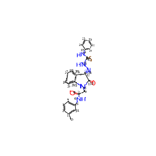 Cc1cccc(NC(=O)CN2C(=O)/C(=N/NC(=S)Nc3ccccc3)c3ccccc32)c1